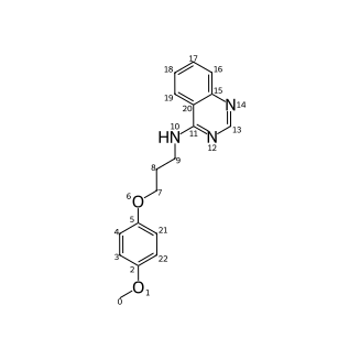 COc1ccc(OCCCNc2ncnc3ccccc23)cc1